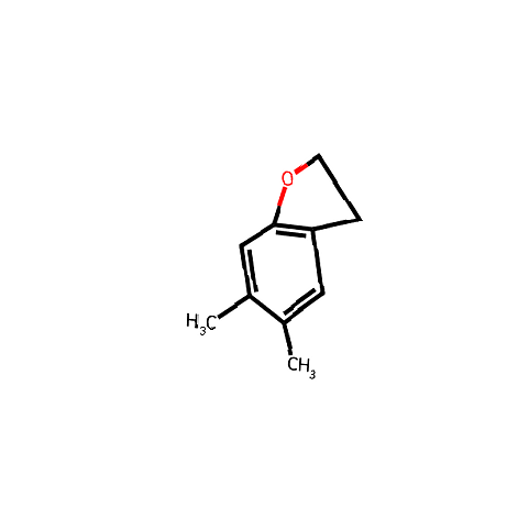 Cc1cc2c(cc1C)OCC2